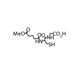 COC(=O)CCCC(=O)NC(CS)C(=O)NCC(=O)O